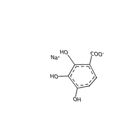 O=C([O-])c1ccc(O)c(O)c1O.[Na+]